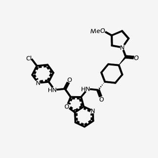 COC1CCN(C(=O)[C@H]2CC[C@H](C(=O)Nc3c(C(=O)Nc4ccc(Cl)cn4)oc4cccnc34)CC2)C1